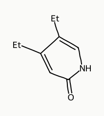 CCc1c[nH]c(=O)cc1CC